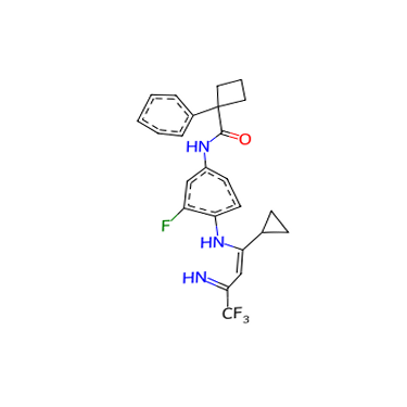 N=C(/C=C(\Nc1ccc(NC(=O)C2(c3ccccc3)CCC2)cc1F)C1CC1)C(F)(F)F